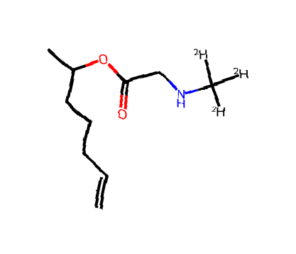 [2H]C([2H])([2H])NCC(=O)OC(C)CCCC=C